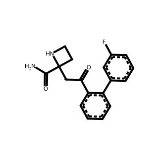 NC(=O)C1([CH]C(=O)c2ccccc2-c2cccc(F)c2)CCN1